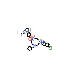 CN(C)c1ccc(S(=O)(=O)N2CCCN(CC3CCCCC3)CCCN(SN3CCc4cc(Cl)ccc4C3)CCC2)cc1